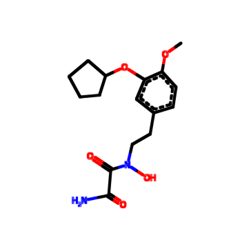 COc1ccc(CCN(O)C(=O)C(N)=O)cc1OC1CCCC1